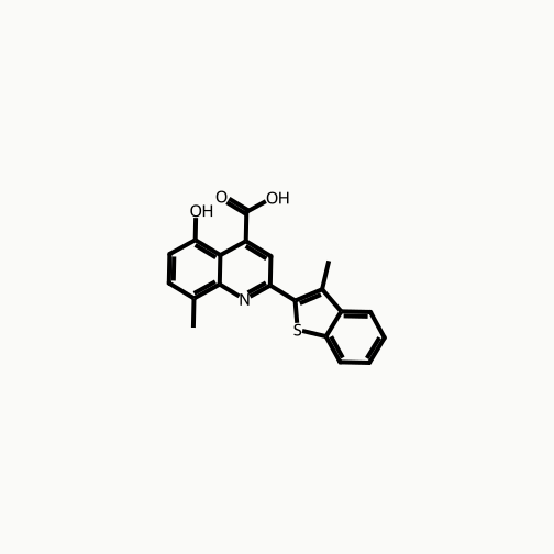 Cc1c(-c2cc(C(=O)O)c3c(O)ccc(C)c3n2)sc2ccccc12